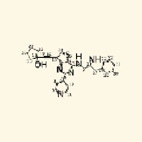 NC(CNc1nc(-c2ccncc2)nc2c(C#CC3(O)CCCC3)csc12)Cc1ccccc1